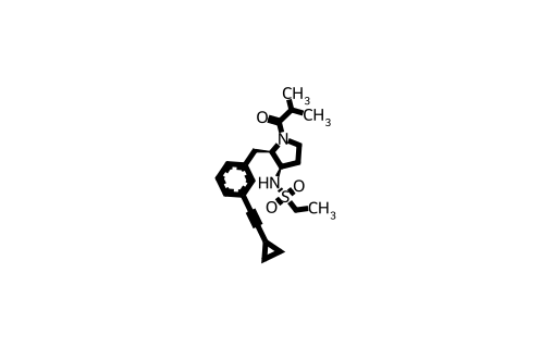 CCS(=O)(=O)N[C@@H]1CCN(C(=O)C(C)C)[C@@H]1Cc1cccc(C#CC2CC2)c1